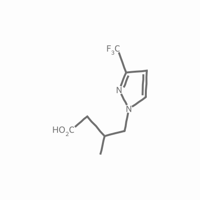 CC(CC(=O)O)Cn1ccc(C(F)(F)F)n1